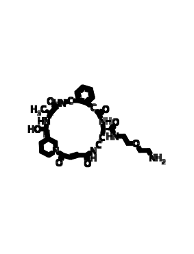 C[C@@H]1NC(O)[C@@H]2CCCN(C2)C(=O)/C=C/C(=O)NCC[C@@H](C(=O)NCCOCCN)NC(=O)Cc2ccccc2CNC1=O